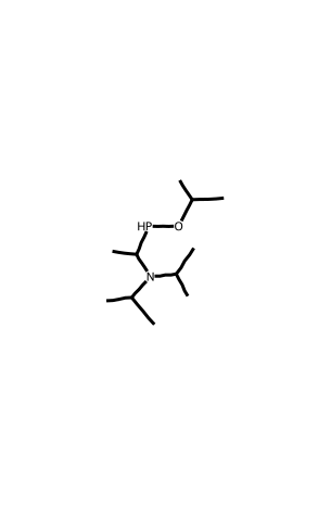 CC(C)OPC(C)N(C(C)C)C(C)C